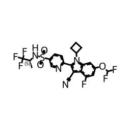 C[C@H](NS(=O)(=O)c1ccc(-c2c(C#N)c3c(F)cc(OC(F)F)cc3n2C2CCC2)nc1)C(F)(F)F